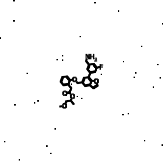 COCC(C)OC(=O)Cc1ccccc1OCc1cc(-c2cc(F)cc(CN)c2)c2occc2c1